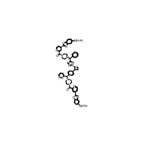 CC(=O)Nc1ccc2oc(-c3ccnc(C(=O)N4CCN(C(c5ccc(C6CCC6n6nnc(C(c7ccccc7)N7CCN(C(=O)c8cc(-c9nc%10cc(NC(C)=O)ccc%10o9)ccn8)CC7)n6)cc5)c5cccnn5)CC4)c3)nc2c1